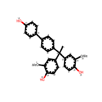 COc1cc(C(C)(c2ccc(-c3ccc(O)cc3)cc2)c2ccc(O)c(OC)c2)ccc1O